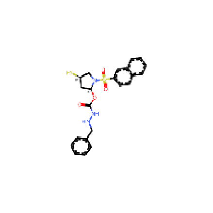 O=C(NNCc1ccccc1)O[C@H]1C[C@@H](S)CN1S(=O)(=O)c1ccc2ccccc2c1